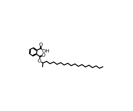 CCCCCCCCCCCCCCCCCC(C)OC(=O)c1ccccc1C(=O)O